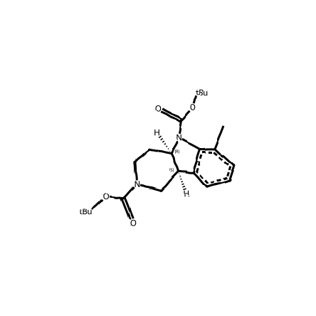 Cc1cccc2c1N(C(=O)OC(C)(C)C)[C@@H]1CCN(C(=O)OC(C)(C)C)C[C@H]21